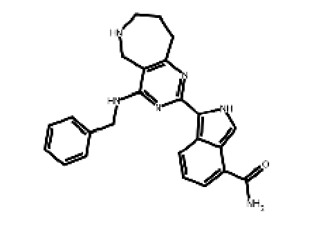 NC(=O)c1cccc2c(-c3nc4c(c(NCc5ccccc5)n3)CNCCC4)[nH]cc12